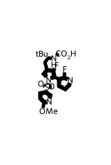 COc1ccc(S(=O)(=O)n2cc(CC(NC(=O)O)C(C)(C)C)c(F)c2-c2cccnc2F)cn1